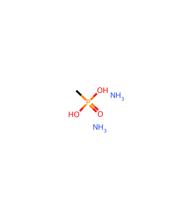 CP(=O)(O)O.N.N